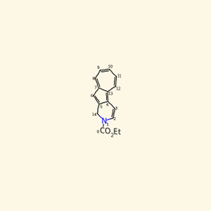 CCOC(=O)N1C=Cc2c(cc3cccccc2-3)C1